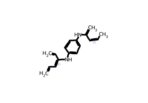 C=C/C=C(\C=C)Nc1ccc(NC(=C)/C=C\C)cc1